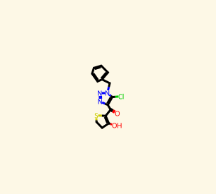 O=C(C1=C(O)CCS1)c1nnn(Cc2ccccc2)c1Cl